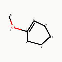 COC1=CC[CH]CC1